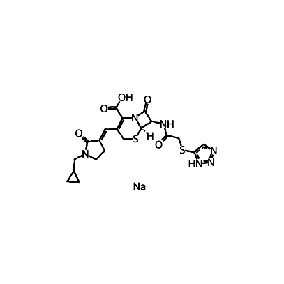 O=C(CSc1cnn[nH]1)N[C@@H]1C(=O)N2C(C(=O)O)=C(C=C3CCN(CC4CC4)C3=O)CS[C@H]12.[Na]